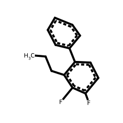 CCCc1c(-c2ccccc2)ccc(F)c1F